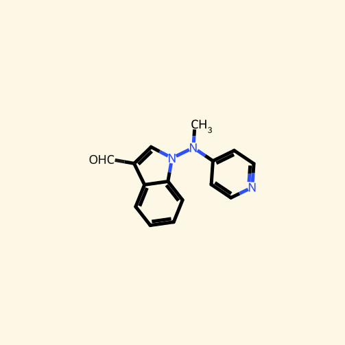 CN(c1ccncc1)n1cc(C=O)c2ccccc21